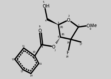 COC1O[C@H](CO)[C@@H](OC(=O)c2ccccc2)C1(C)F